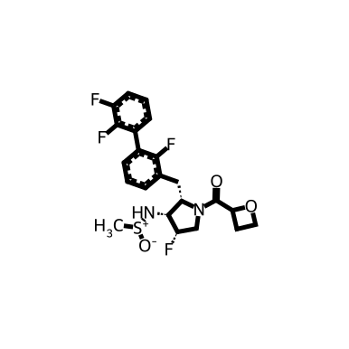 C[S+]([O-])N[C@H]1[C@@H](F)CN(C(=O)C2CCO2)[C@H]1Cc1cccc(-c2cccc(F)c2F)c1F